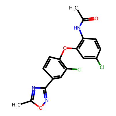 CC(=O)Nc1ccc(Cl)cc1Oc1ccc(-c2noc(C)n2)cc1Cl